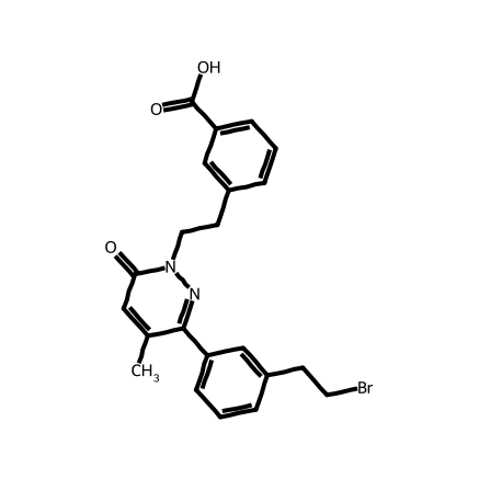 Cc1cc(=O)n(CCc2cccc(C(=O)O)c2)nc1-c1cccc(CCBr)c1